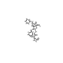 NC(CCCCNC(=O)N1CCC1=O)(C(=O)OCc1ccccc1)C(=O)OCc1ccccc1